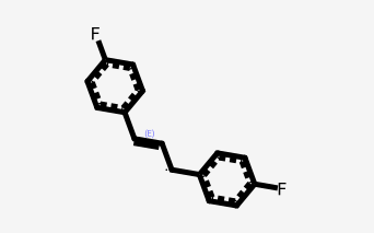 Fc1ccc([CH]/C=C/c2ccc(F)cc2)cc1